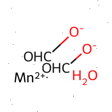 O.O=C[O-].O=C[O-].[Mn+2]